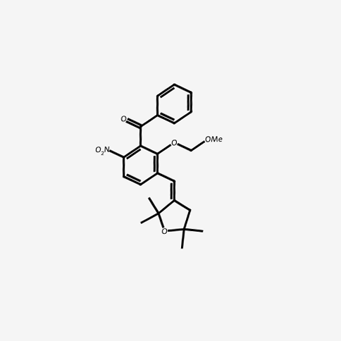 COCOc1c(/C=C2/CC(C)(C)OC2(C)C)ccc([N+](=O)[O-])c1C(=O)c1ccccc1